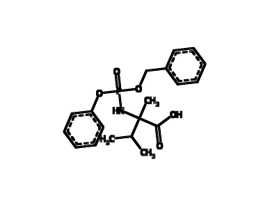 CC(C)C(C)(NP(=O)(OCc1ccccc1)Oc1ccccc1)C(=O)O